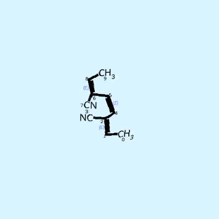 C\C=C(C#N)/C=C\C(C#N)=C/C